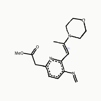 C=Nc1ccc(CC(=O)OC)nc1/C=C(\C)N1CCOCC1